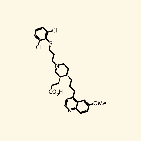 COc1ccc2nccc(CCC[C@@H]3CCN(CCCSc4c(Cl)cccc4Cl)C[C@@H]3CCC(=O)O)c2c1